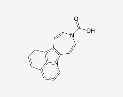 O=C(O)N1C=Cc2c3c4c(cccn4c2C=C1)C=CC3